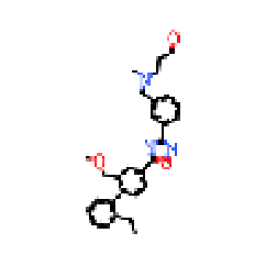 CCc1ccccc1-c1ccc(-c2nc(-c3cccc(CN(C)CCC=O)c3)no2)cc1COC